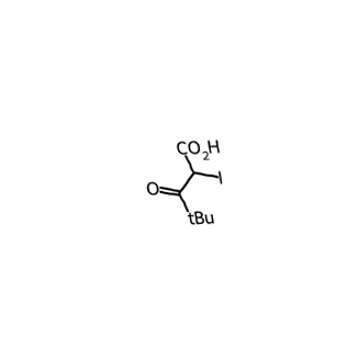 CC(C)(C)C(=O)C(I)C(=O)O